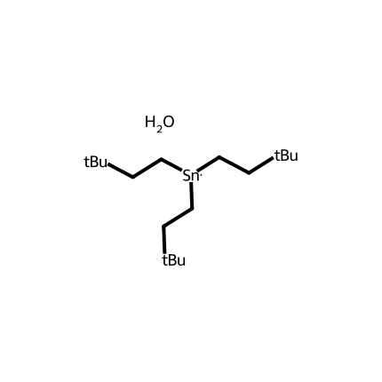 CC(C)(C)C[CH2][Sn]([CH2]CC(C)(C)C)[CH2]CC(C)(C)C.O